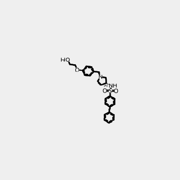 O=S(=O)(N[C@@H]1CCN(Cc2ccc(OCCO)cc2)C1)c1ccc(-c2ccccc2)cc1